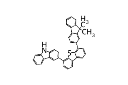 CC1(C)c2ccccc2-c2ccc(-c3cccc4c3sc3c(-c5ccc6[nH]c7ccccc7c6c5)cccc34)cc21